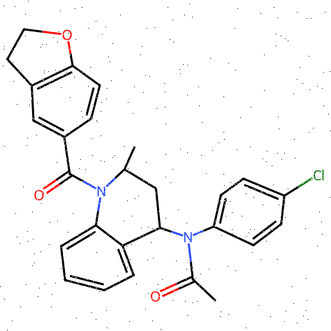 CC(=O)N(c1ccc(Cl)cc1)C1CC(C)N(C(=O)c2ccc3c(c2)CCO3)c2ccccc21